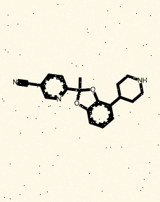 CC1(c2ccc(C#N)cn2)Oc2cccc(C3CCNCC3)c2O1